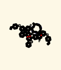 C=Cc1ccc(Oc2ccc(C3(c4ccc(F)cc4)/C=C/C(N(c4ccc5c(c4)C(c4ccc(F)cc4)(c4ccc(OC6=CCC(C=C)C=C6)cc4)c4ccccc4-5)c4ccccc4-c4cccc5c4oc4ccccc45)=C\C=C\C(C)/C=C\C=C/C3)cc2)cc1